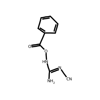 N#CN=C(N)NOC(=O)c1ccccc1